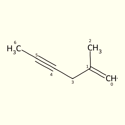 [CH]=C(C)CC#CC